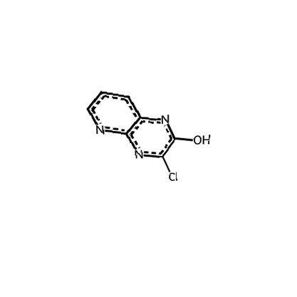 Oc1nc2cccnc2nc1Cl